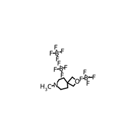 CN1CCC2(CC1)COC2.F[B-](F)(F)F.F[B-](F)(F)F.F[B-](F)(F)F